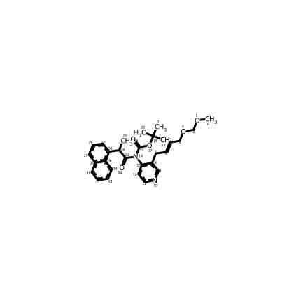 COCOC/C=C/Cc1cnccc1N(C(=O)OC(C)(C)C)C(=O)C(C)c1cccc2ccccc12